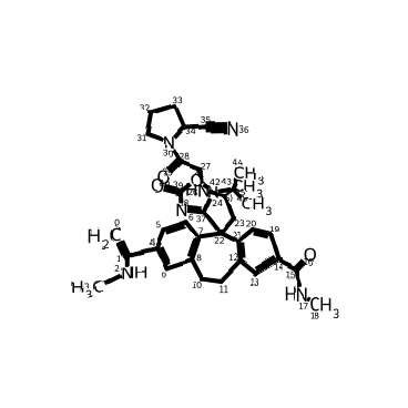 C=C(NC)c1ccc2c(c1)CCc1cc(C(=O)NC)ccc1C2(C[C@H](C)NCC(=O)N1CCCC1C#N)c1nc(=O)on1C(C)C